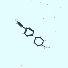 CCCCCCC[C@H]1CC[C@H](c2ccc(C#CF)cc2)CC1